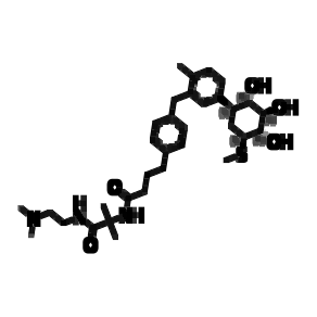 CS[C@H]1C[C@@H](c2ccc(C)c(Cc3ccc(CCCC(=O)NC(C)(C)C(=O)NCCN(C)C)cc3)c2)[C@H](O)[C@@H](O)[C@@H]1O